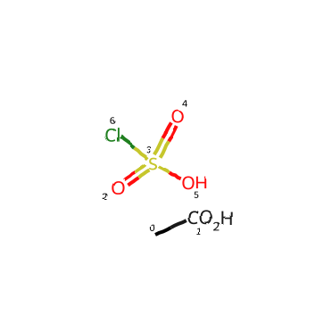 CC(=O)O.O=S(=O)(O)Cl